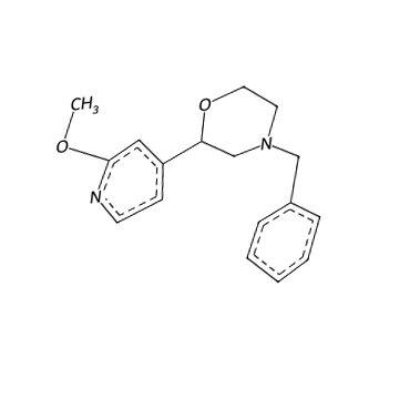 COc1cc(C2CN(Cc3ccccc3)CCO2)ccn1